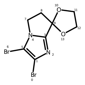 Brc1nc2n(c1Br)CCC21OCCO1